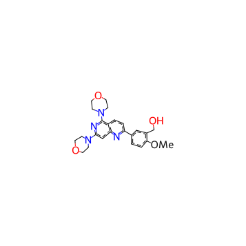 COc1ccc(-c2ccc3c(N4CCOCC4)nc(N4CCOCC4)cc3n2)cc1CO